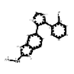 CCCNc1nc2ccc(-c3ocnc3-c3ccccc3F)cc2s1